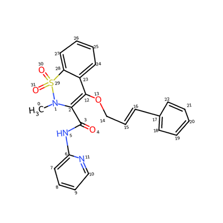 CN1C(C(=O)Nc2ccccn2)=C(OC/C=C/c2ccccc2)c2ccccc2S1(=O)=O